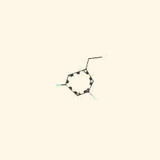 Br.Fc1cc(F)cc([CH2][Zn])c1